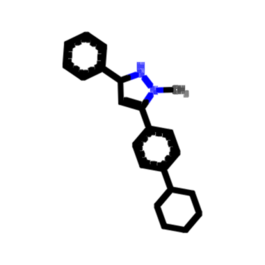 CN1NC(c2ccccc2)C=C1c1ccc(C2CCCCC2)cc1